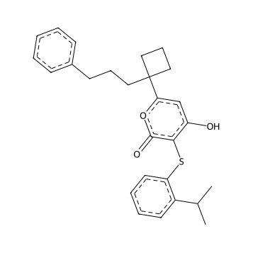 CC(C)c1ccccc1Sc1c(O)cc(C2(CCCc3ccccc3)CCC2)oc1=O